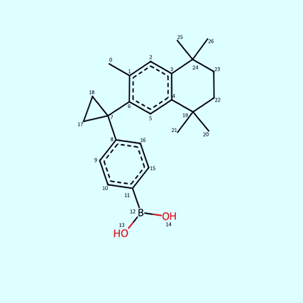 Cc1cc2c(cc1C1(c3ccc(B(O)O)cc3)CC1)C(C)(C)CCC2(C)C